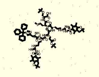 CSCC[C@H](NC(=O)[C@H](CCCNC(=N)NS(=O)(=O)c1c(C)c(C)c2c(c1C)CC(C)(C)O2)NC(=O)[C@H](CCC(=O)OC(C)(C)C)NC(=O)[C@H](CCCNC(=N)NS(=O)(=O)c1c(C)c(C)c2c(c1C)CC(C)(C)O2)NC(=O)[C@@H](N)Cc1cn(C(c2ccccc2)(c2ccccc2)c2ccccc2)cn1)C(=O)N[C@@H](COC(C)(C)C)C(=O)O